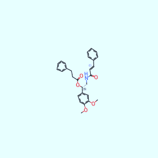 COc1ccc([C@@H](CNC(=O)/C=C/c2ccccc2)OC(=O)CCc2ccccc2)cc1OC